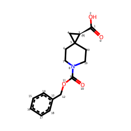 O=C(O)[C@@H]1CC12CCN(C(=O)OCc1ccccc1)CC2